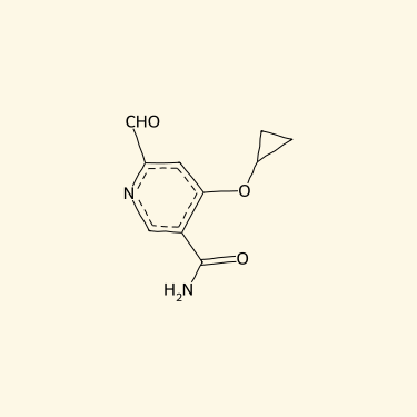 NC(=O)c1cnc(C=O)cc1OC1CC1